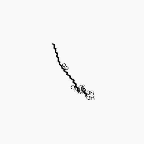 CCCCCCCCCCCC(=O)CC(=O)CCCCCCCCC(=O)C(CN)OP(=O)(O)OCC(O)CO